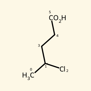 C[C](Cl)CCC(=O)O